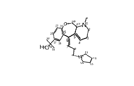 CN1CCC=C2/C(=C\CCN3CCCC3)c3cc(C(C)(C)O)ccc3OCC21